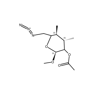 CO[C@H]1OC(CN=[N+]=[N-])[C@@H](C)[C@H](C)C1OC(C)=O